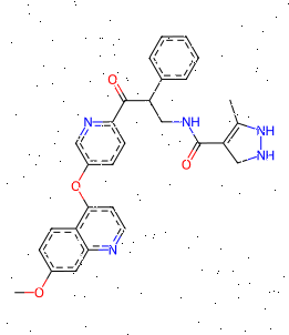 COc1ccc2c(Oc3ccc(C(=O)C(CNC(=O)C4=C(C)NNC4)c4ccccc4)nc3)ccnc2c1